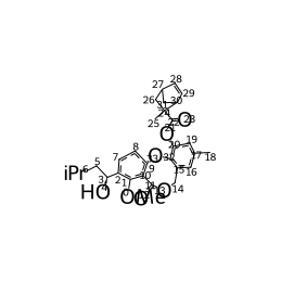 COc1c([C@@H](O)CC(C)C)ccc2c1C(=O)OCc1cc(C)cc(OC(=O)C3(C)CC4C=CC3C4)c1O2